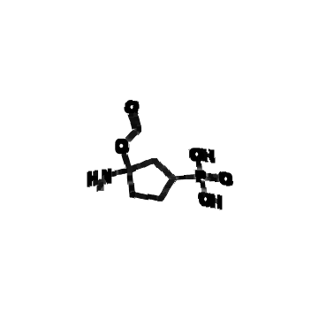 NC1(OC=O)CCC(P(=O)(O)O)C1